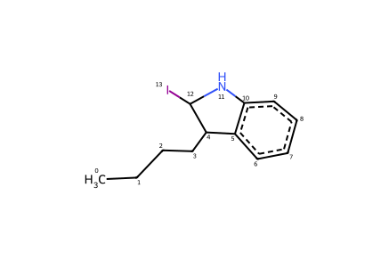 CCCCC1c2ccccc2NC1I